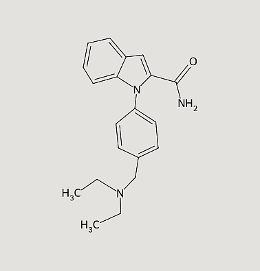 CCN(CC)Cc1ccc(-n2c(C(N)=O)cc3ccccc32)cc1